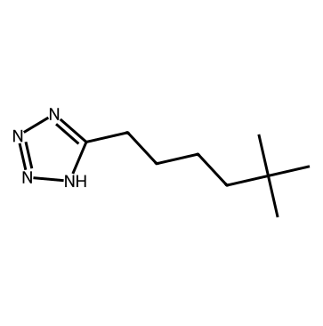 CC(C)(C)CCCCc1nnn[nH]1